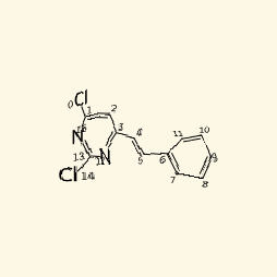 Clc1cc(C=Cc2ccccc2)nc(Cl)n1